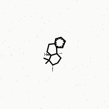 CC1(C)[C@@H](I)CC[C@]2(C)c3ccccc3CC[C@@H]12